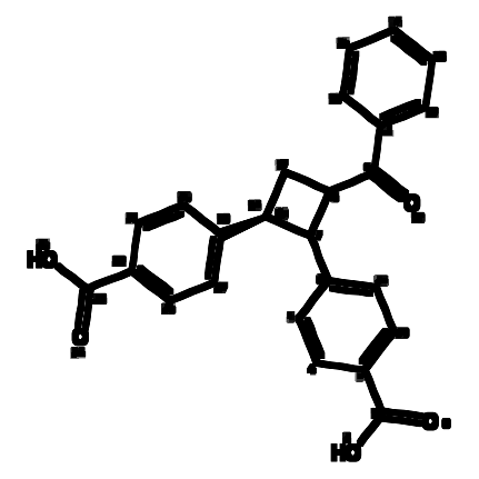 O=C(O)c1ccc(C2C(C(=O)c3ccccc3)C[C@@H]2c2ccc(C(=O)O)cc2)cc1